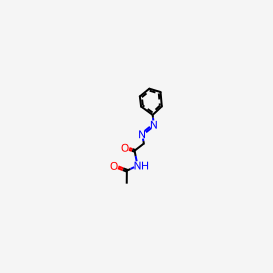 CC(=O)NC(=O)CN=Nc1ccccc1